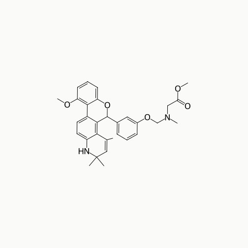 COC(=O)CN(C)COc1cccc(C2Oc3cccc(OC)c3-c3ccc4c(c32)C(C)=CC(C)(C)N4)c1